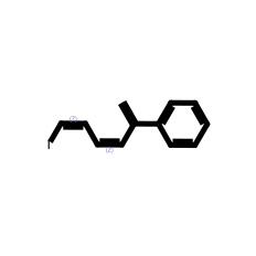 C=C(/C=C\C=C/I)c1ccccc1